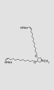 CCCCCC/C=C\CCCCCCCCCCO[C@@H]1CN(C)C[C@H]1OCCCCCCCCCC/C=C\CCCCCC